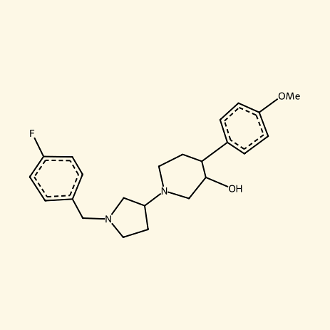 COc1ccc(C2CCN(C3CCN(Cc4ccc(F)cc4)C3)CC2O)cc1